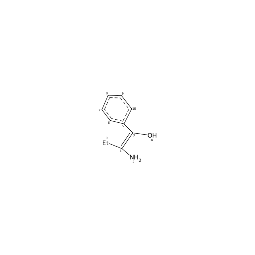 CC/C(N)=C(/O)c1ccccc1